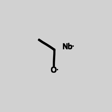 CC[O].[Nb]